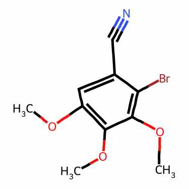 COc1cc(C#N)c(Br)c(OC)c1OC